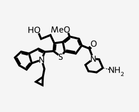 COc1cc(C(=O)N2CCC[C@@H](N)C2)cc2sc(-c3cc4ccccc4n3CC3CC3)c(CCO)c12